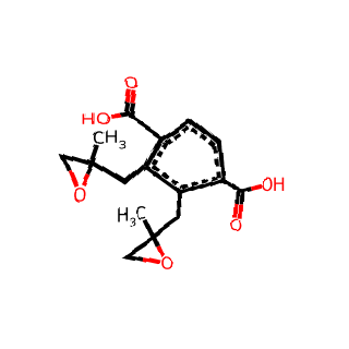 CC1(Cc2c(C(=O)O)ccc(C(=O)O)c2CC2(C)CO2)CO1